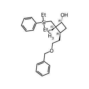 CC[Si](CC)(C[C@@]1(C)[C@H](CCOCc2ccccc2)C[C@H]1O)c1ccccc1